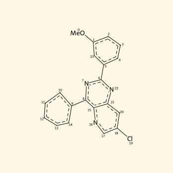 COc1cccc(-c2nc(-c3ccccc3)c3ncc(Cl)cc3n2)c1